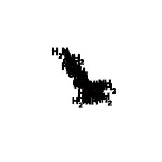 N=C(N)NCCC[C@H](NC(=O)[C@H](CCCNC(=N)N)NC(=O)[C@H](CCCNC(=N)N)NC(=O)CNC(=O)[C@H](CCCCN)NC(=O)[C@H](CCC(N)=O)NC(=O)[C@@H]1CCCN1C(=O)CNC(=O)CNC(=O)[C@@H]1CCCN1C(=O)[C@H](Cc1c[nH]cn1)NC(=O)CNC(=O)[C@@H](N)CCCCN)C(=O)O